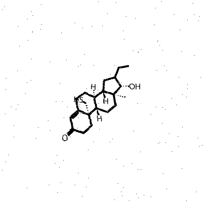 CCC1C[C@H]2[C@@H]3CCC4=CC(=O)CC[C@]4(CS)[C@H]3CC[C@]2(C)[C@H]1O